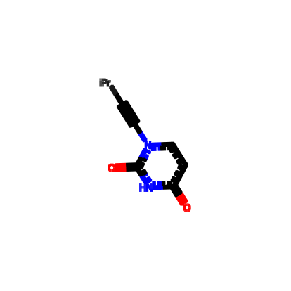 CC(C)C#Cn1ccc(=O)[nH]c1=O